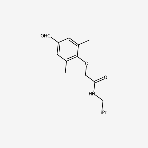 Cc1cc(C=O)cc(C)c1OCC(=O)NCC(C)C